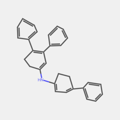 C1=C(NC2=CC(c3ccccc3)=C(c3ccccc3)CC2)CCC(c2ccccc2)=C1